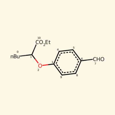 CCCCC(Oc1ccc(C=O)cc1)C(=O)OCC